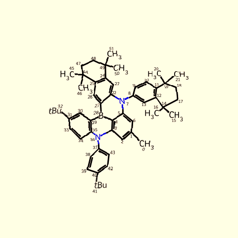 Cc1cc2c3c(c1)N(c1ccc4c(c1)C(C)(C)CCC4(C)C)c1cc4c(cc1B3c1cc(C(C)(C)C)ccc1N2c1ccc(C(C)(C)C)cc1)C(C)(C)CCC4(C)C